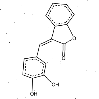 O=C1Oc2ccccc2C1=Cc1ccc(O)c(O)c1